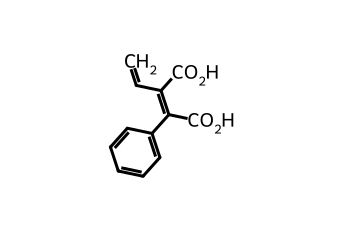 C=CC(C(=O)O)=C(C(=O)O)c1ccccc1